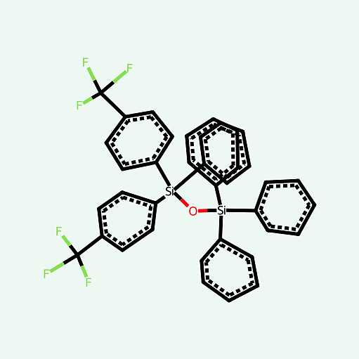 FC(F)(F)c1ccc([Si](O[Si](c2ccccc2)(c2ccccc2)c2ccccc2)(c2ccccc2)c2ccc(C(F)(F)F)cc2)cc1